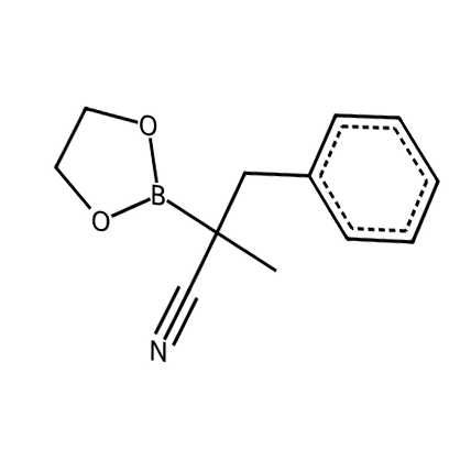 CC(C#N)(Cc1ccccc1)B1OCCO1